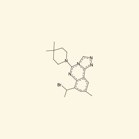 Cc1cc(C(C)Br)c2nc(N3CCC(C)(C)CC3)n3cnnc3c2c1